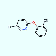 CC(C)c1ccc(Oc2ccccc2C#N)nc1